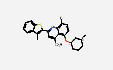 CCc1ccc(O[C@@H]2CCC[C@H](C)C2)c2c(C(=O)O)cc(-c3sc4ccccc4c3C)nc12